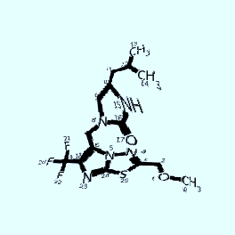 COCc1nn2c(CN3CC(CC(C)C)NC3=O)c(C(F)(F)F)nc2s1